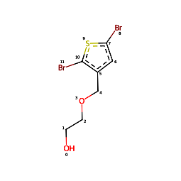 OCCOCc1cc(Br)sc1Br